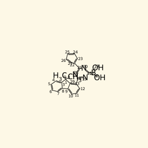 CC1(C)c2ccccc2-c2cccc(-c3nc(B(O)O)nc(-c4ccccc4)n3)c21